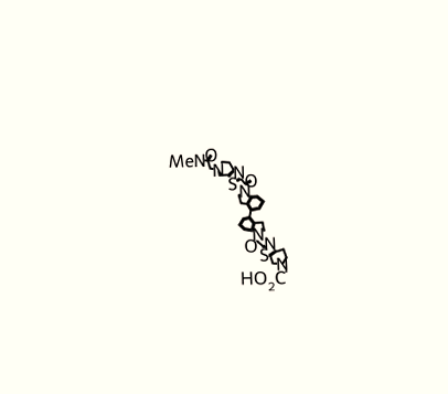 CNC(=O)CN1CCc2nc(C(=O)N3CCc4c(-c5cccc6c5CCN6C(=O)c5nc6c(s5)CN(CC(=O)O)CC6)cccc43)sc2C1